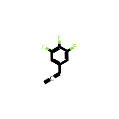 C=C=Cc1cc(F)c(F)c(F)c1